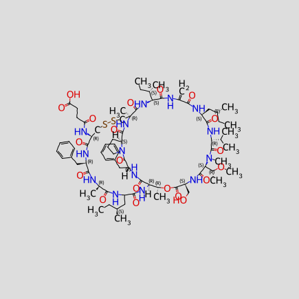 C=C1NC(=O)[C@H]([C@@H](C)CC)NC(=O)[C@]2(C)CSSC[C@H](NC(=O)CCC(=O)O)C(=O)N[C@H](Cc3ccccc3)C(=O)N[C@H](C)C(=O)NC(C[C@@H](C)CC)C(=O)N[C@@H](C(=O)N[C@H](Cc3ccccc3)C(=O)N3CCC[C@H]3C(=O)N2)[C@@H](C)OC(=O)[C@H](CO)NC(=O)[C@H]([C@@H](C)OC)N(C)C(=O)[C@@H](C(C)C)NC(=O)[C@H](C[C@H](C)CC)NC1=O